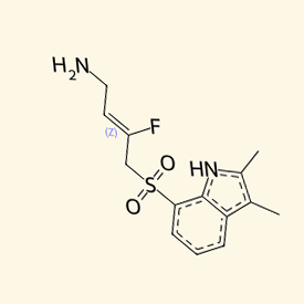 Cc1[nH]c2c(S(=O)(=O)C/C(F)=C/CN)cccc2c1C